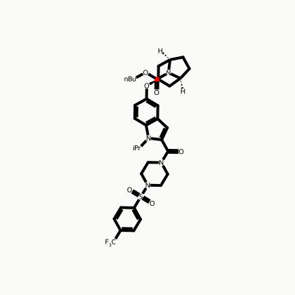 CCCCOC(=O)N1[C@@H]2CC[C@H]1C[C@@H](Oc1ccc3c(c1)cc(C(=O)N1CCN(S(=O)(=O)c4ccc(C(F)(F)F)cc4)CC1)n3C(C)C)C2